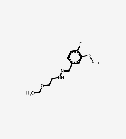 CCOCCN/N=C/c1ccc(F)c(OC)c1